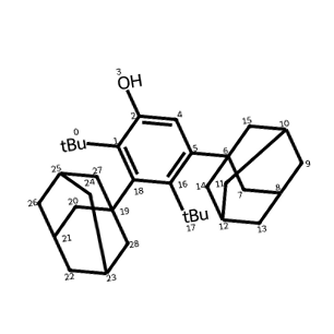 CC(C)(C)c1c(O)cc(C23CC4CC(CC(C4)C2)C3)c(C(C)(C)C)c1C12CC3CC(CC(C3)C1)C2